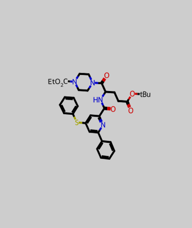 CCOC(=O)N1CCN(C(=O)C(CCC(=O)OC(C)(C)C)NC(=O)c2cc(Sc3ccccc3)cc(-c3ccccc3)n2)CC1